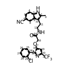 Cc1[nH]c2ccc(C#N)cc2c1CCNC(=O)COc1cc(C(F)(F)F)nn1-c1ccccc1Cl